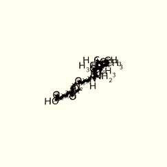 Cc1c(C)c(S(=O)(=O)/N=C(\N)NCCCCC(=O)N2CCN(C(=O)CCCCC(=O)O)CC2)c(C)c2c1OC(C)(C)C2